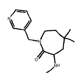 CNC1CC(C)(C)CCN(Cc2cccnc2)C1=O